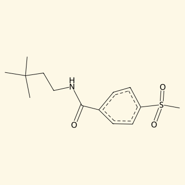 CC(C)(C)CCNC(=O)c1ccc(S(C)(=O)=O)cc1